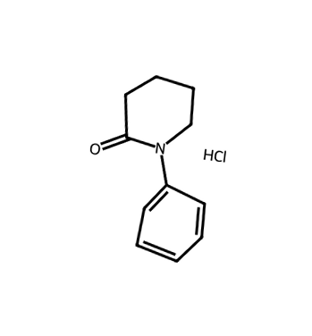 Cl.O=C1CCCCN1c1ccccc1